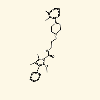 COc1c(C(=O)NCCCN2CCN(c3cccc(C)c3C)CC2)c(C)n(C)c1-c1ccccc1